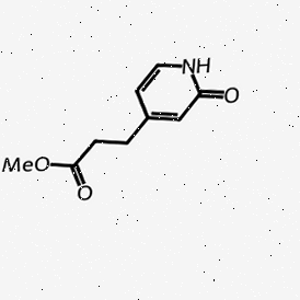 COC(=O)CCc1cc[nH]c(=O)c1